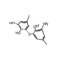 CCCc1cc(C)cc(Sc2cc(C)cc(CCC)c2O)c1O